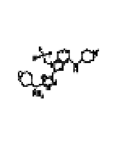 CN1CCC(Nc2cccc3c2cc(-c2nnc(C(N)C4CCOCC4)o2)n3CC(F)(F)F)CC1